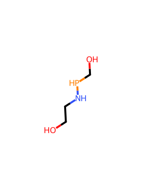 OCCNPCO